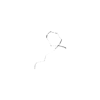 CCCCCC1(C)CCCCC1